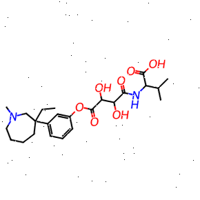 CCC1(c2cccc(OC(=O)C(O)C(O)C(=O)NC(C(=O)O)C(C)C)c2)CCCCN(C)C1